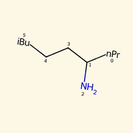 CCCC(N)CCC(C)CC